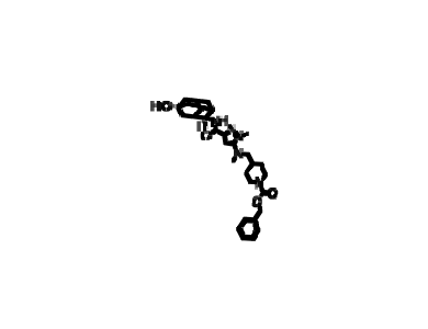 CN(CC1CCN(C(=O)OCc2ccccc2)CC1)c1cc(C(=O)N[C@H]2C3CC4CC2C[C@](O)(C4)C3)nn1C